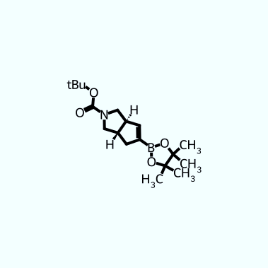 CC(C)(C)OC(=O)N1C[C@H]2CC(B3OC(C)(C)C(C)(C)O3)=C[C@@H]2C1